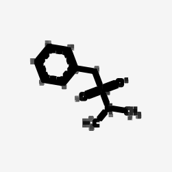 CN(C)S(=O)(=O)[CH]c1ccccc1